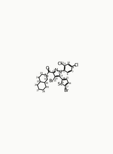 O=C(c1nn(-c2ccc(Cl)cc2Cl)c(-c2ccc(Br)[se]2)c1Br)N1CCC2CCCCC2C1